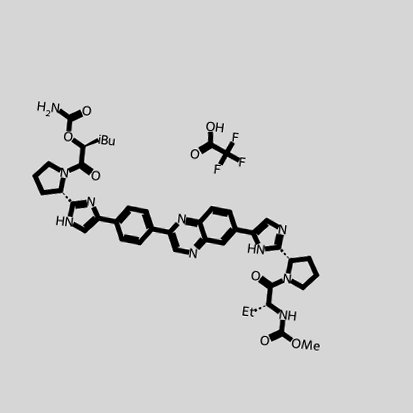 CCC(C)[C@H](OC(N)=O)C(=O)N1CCC[C@H]1c1nc(-c2ccc(-c3cnc4cc(-c5cnc([C@@H]6CCCN6C(=O)[C@@H](CC)NC(=O)OC)[nH]5)ccc4n3)cc2)c[nH]1.O=C(O)C(F)(F)F